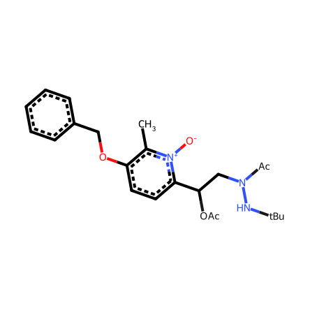 CC(=O)OC(CN(NC(C)(C)C)C(C)=O)c1ccc(OCc2ccccc2)c(C)[n+]1[O-]